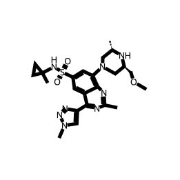 COC[C@H]1CN(c2cc(S(=O)(=O)NC3(C)CC3)cc3c(-c4cn(C)nn4)nc(C)nc23)C[C@H](C)N1